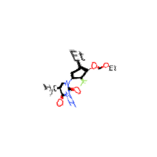 CCOCO[C@H]1C(CC)=C[C@@H](n2cc(C)c(=O)[nH]c2=O)C1F